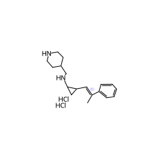 C/C(=C\C1CC1NCC1CCNCC1)c1ccccc1.Cl.Cl